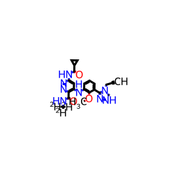 [2H]C([2H])([2H])NC(=O)c1nnc(NC(=O)C2CC2)cc1Nc1cccc(C2=NNCN2CC#C)c1OC